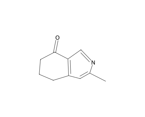 Cc1cc2c(cn1)C(=O)CCC2